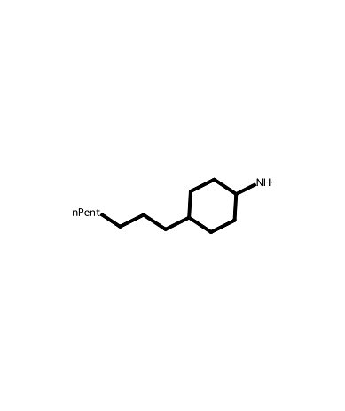 CCCCCCCCC1CCC([NH])CC1